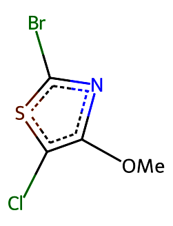 COc1nc(Br)sc1Cl